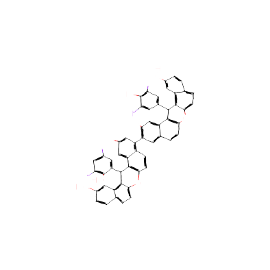 Oc1ccc2ccc3c(c2c1)C(c1cc(I)c(O)c(I)c1)c1c(ccc2cc(-c4cc(O)cc5c6c(ccc45)Oc4ccc5ccc(O)cc5c4C6c4cc(I)cc(I)c4O)c(O)cc12)O3